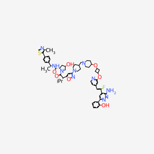 Cc1ncsc1-c1ccc([C@H](C)NC(=O)[C@@H]2C[C@@H](O)CN2C(=O)[C@@H](c2cc(N3CCC(CN4CCC(OC5CC(Oc6cc(C=C(F)c7cc(-c8ccccc8O)nnc7N)ccn6)C5)CC4)CC3)no2)C(C)C)cc1